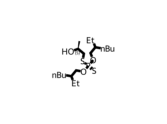 CCCCC(CC)COP(=S)(OCC(CC)CCCC)SC[C@H](C)O